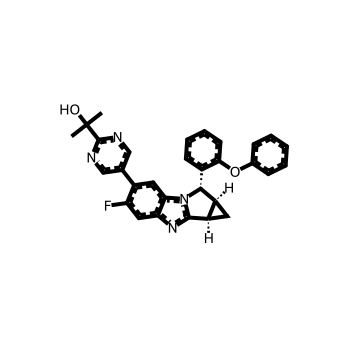 CC(C)(O)c1ncc(-c2cc3c(cc2F)nc2n3[C@H](c3ccccc3Oc3ccccc3)[C@H]3C[C@@H]23)cn1